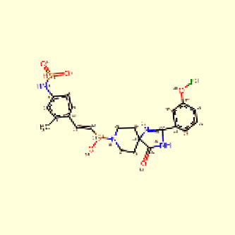 Cc1cc(N[SH](=O)=O)ccc1/C=C/[S+]([O-])N1CCC2(CC1)N=C(c1cccc(OF)c1)NC2=O